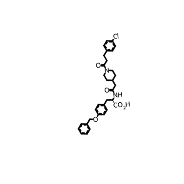 O=C(CC1CCN(C(=O)CCc2ccc(Cl)cc2)CC1)N[C@@H](Cc1ccc(OCc2ccccc2)cc1)C(=O)O